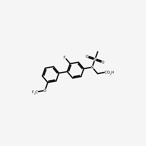 CS(=O)(=O)N(CC(=O)O)c1ccc(-c2cccc(OC(F)(F)F)c2)c(F)c1